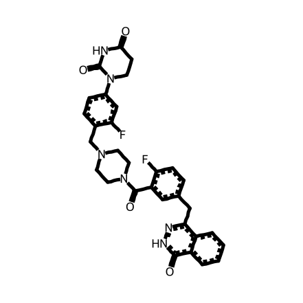 O=C1CCN(c2ccc(CN3CCN(C(=O)c4cc(Cc5n[nH]c(=O)c6ccccc56)ccc4F)CC3)c(F)c2)C(=O)N1